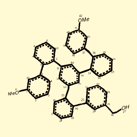 COc1cccc(-c2ccccc2-c2cc(-c3ccccc3-c3cccc(CO)c3)cc(-c3ccccc3-c3cccc(OC)c3)c2)c1